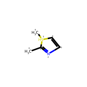 CC1=NC=C[SH]1C